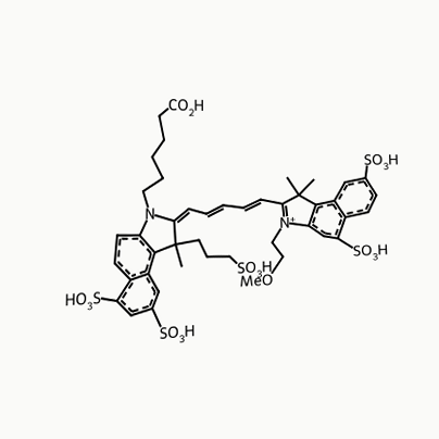 COCC[N+]1=C(/C=C/C=C/C=C2/N(CCCCCC(=O)O)c3ccc4c(S(=O)(=O)O)cc(S(=O)(=O)O)cc4c3C2(C)CCCS(=O)(=O)O)C(C)(C)c2c1cc(S(=O)(=O)O)c1ccc(S(=O)(=O)O)cc21